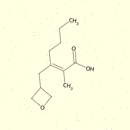 CCCCC(CC1COC1)=C(C)C(=O)O